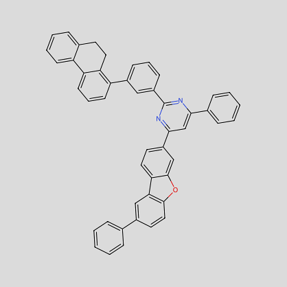 c1ccc(-c2ccc3oc4cc(-c5cc(-c6ccccc6)nc(-c6cccc(-c7cccc8c7CCc7ccccc7-8)c6)n5)ccc4c3c2)cc1